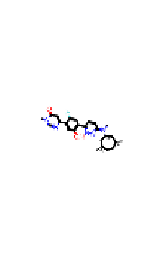 C[C@@H]1CC[C@H](C)C[C@@H](N(C)c2ccc(-c3cc(F)c(-c4cc(=O)n(C)cn4)cc3O)nn2)C1